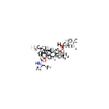 C=C(C)[C@@H]1CC[C@]2(CC(=O)NC(CC(C)C)C(C)=O)CC[C@]3(C)[C@H](CC[C@@H]4[C@@]5(C)CC[C@H](OC(=O)CC(C)(C)CC(=O)O)C(C)(C)[C@@H]5CC[C@]43C)[C@@H]12